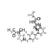 CC(=O)N(C)C1CCN(Cc2ccc(-c3cccc4nc(NC(=O)C5CC5)nn34)cc2)C1